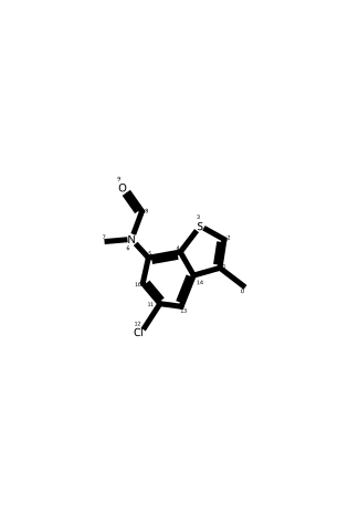 Cc1csc2c(N(C)C=O)cc(Cl)cc12